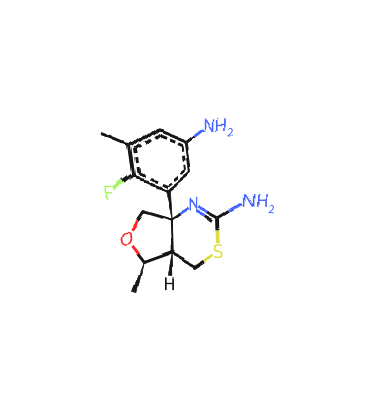 Cc1cc(N)cc([C@]23CO[C@H](C)[C@H]2CSC(N)=N3)c1F